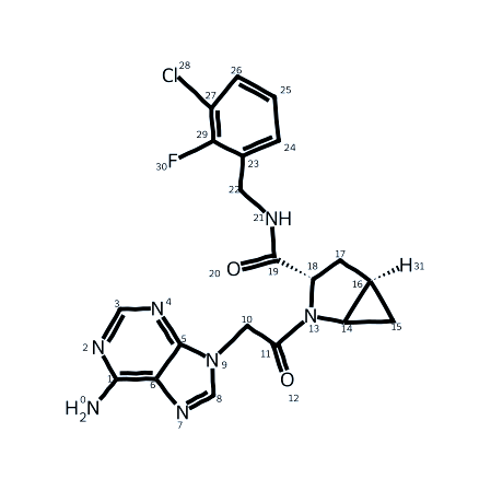 Nc1ncnc2c1ncn2CC(=O)N1C2C[C@@H]2C[C@H]1C(=O)NCc1cccc(Cl)c1F